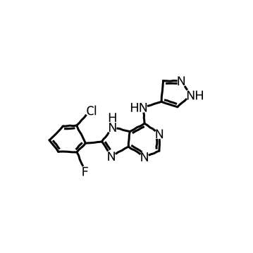 Fc1cccc(Cl)c1-c1nc2ncnc(Nc3cn[nH]c3)c2[nH]1